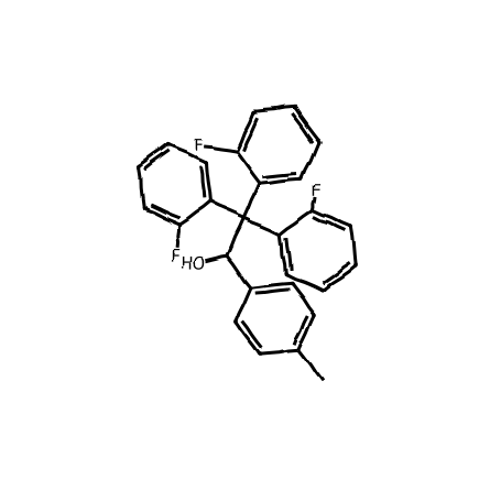 Cc1ccc(C(O)C(c2ccccc2F)(c2ccccc2F)c2ccccc2F)cc1